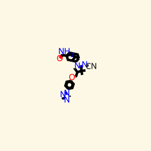 CC1(C)C(=NC#N)N(C2C3CC4CC2CC(C(N)=O)(C4)C3)CC1COc1ccc(-n2cncn2)cc1